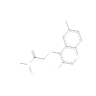 CCCN(CCC)C(=O)CNc1c(C(C)=O)cnc2ccc(C)cc12